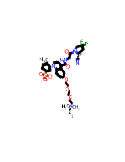 C[N+](C)(C)CCOCCOCCOc1ccc2nccc(C(=O)NCC(=O)N3CC(F)(F)C[C@H]3C#N)c2c1.Cc1ccc(S(=O)(=O)[O-])cc1